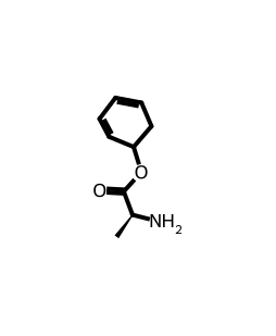 C[C@H](N)C(=O)OC1C=CC=CC1